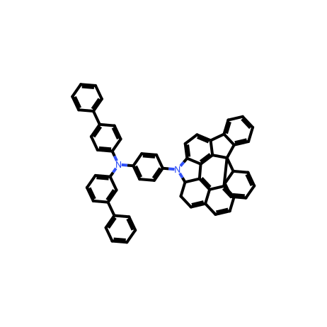 C1=CCC(C23c4ccccc4-c4ccc5c(c42)C2=c4c3cccc4=CCC2N5c2ccc(N(c3ccc(-c4ccccc4)cc3)c3cccc(-c4ccccc4)c3)cc2)C=C1